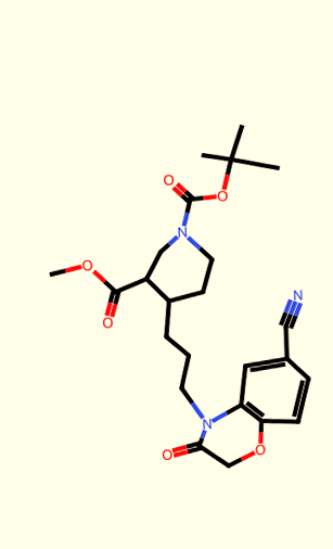 COC(=O)C1CN(C(=O)OC(C)(C)C)CCC1CCCN1C(=O)COc2ccc(C#N)cc21